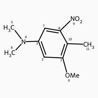 COc1cc(N(C)C)cc([N+](=O)[O-])c1C